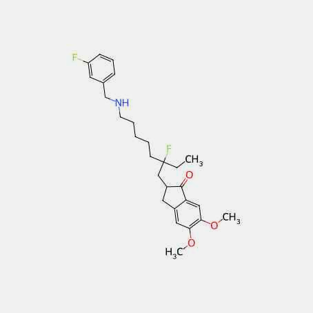 CCC(F)(CCCCCNCc1cccc(F)c1)CC1Cc2cc(OC)c(OC)cc2C1=O